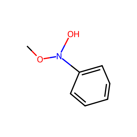 CON(O)c1ccccc1